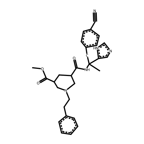 COC(=O)C1CC(C(=O)NC(C)(Cc2ccc(C#N)cc2)c2cnc[nH]2)CN(CCc2ccccc2)C1